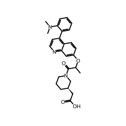 CC(Oc1ccc2c(-c3ccccc3N(C)C)ccnc2c1)C(=O)N1CCC[C@H](CC(=O)O)C1